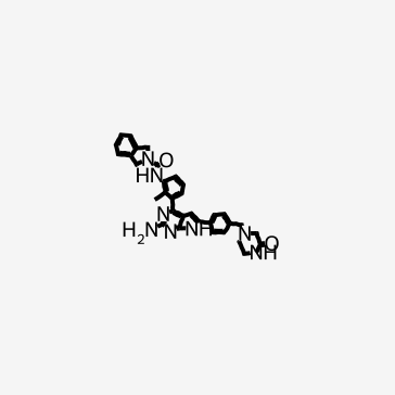 Cc1c(NC(=O)N2Cc3ccccc3C2)cccc1-c1nc(N)nc2[nH]c(-c3ccc(CN4CCNC(=O)C4)cc3)cc12